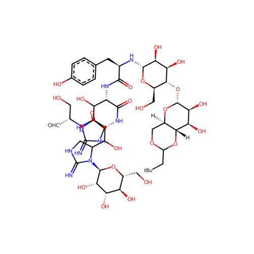 CC(C)(C)CC1OC[C@H]2O[C@H](O[C@H]3[C@H](O)[C@H](O)[C@@H](N[C@H](Cc4ccc(O)cc4)C(=O)N[C@H](C(=O)N[C@@H](C(=O)N[C@H]([C]=O)CO)C(O)C4CNC(=N)N4[C@H]4O[C@H](CO)[C@@H](O)[C@H](O)[C@@H]4O)C(O)C4CNC(=N)N4)O[C@@H]3CO)[C@@H](O)[C@@H](O)[C@@H]2O1